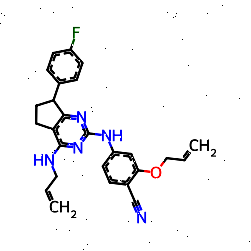 C=CCNc1nc(Nc2ccc(C#N)c(OCC=C)c2)nc2c1CCC2c1ccc(F)cc1